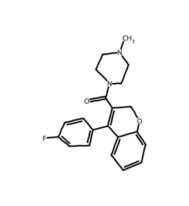 CN1CCN(C(=O)C2=C(c3ccc(F)cc3)c3ccccc3OC2)CC1